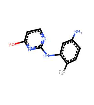 Nc1ccc(C(F)(F)F)c(Nc2nccc(O)n2)c1